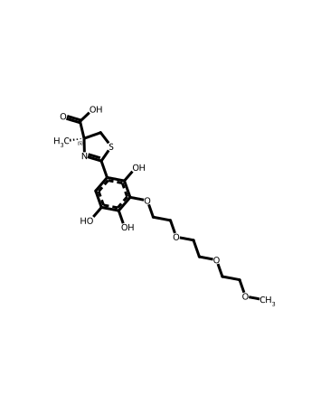 COCCOCCOCCOc1c(O)c(O)cc(C2=N[C@@](C)(C(=O)O)CS2)c1O